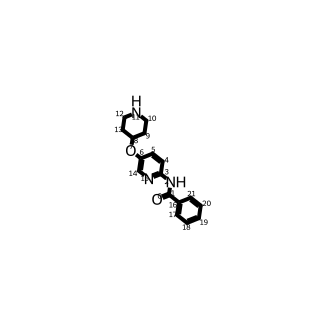 O=C(Nc1ccc(OC2CCNCC2)cn1)c1ccccc1